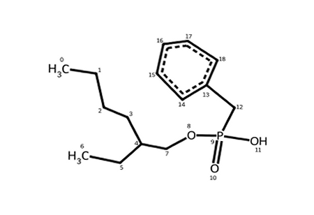 CCCCC(CC)COP(=O)(O)Cc1ccccc1